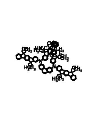 CCC1(CC)c2ccccc2-c2cc3c(cc21)-c1ccc(N(c2ccc4c(c2)C(CC)(CC)c2cc5c(cc2-4)C(CC)(CC)c2ccccc2-5)c2ccc4ccc5ccc(N(c6ccc7c(c6)C(CC)(CC)c6cc8c(cc6-7)C(CC)(CC)c6ccccc6-8)c6ccc7c(c6)C(CC)(CC)c6cc8c(cc6-7)C(CC)(CC)c6ccccc6-8)cc5c4c2)cc1C3(CC)CC